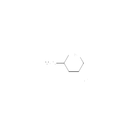 CCC[C@@H](CC(C)CC)CC(C)NC